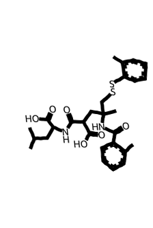 Cc1ccccc1SSCC(C)(CC(C(=O)O)C(=O)NC(CC(C)C)C(=O)O)NC(=O)c1ccccc1C